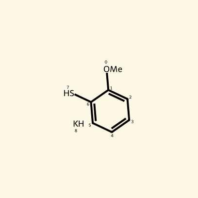 COc1ccccc1S.[KH]